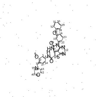 COc1cc(NC(=O)c2sc3ncnc4c3c2NC(=O)N4c2cccc(Oc3ccccc3)c2)ccc1CN1CCOCC1